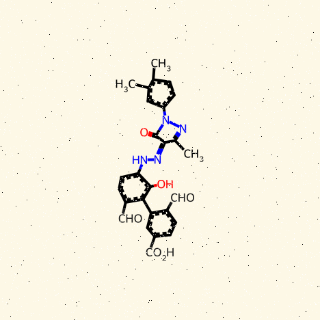 CC1=NN(c2ccc(C)c(C)c2)C(=O)C1=NNc1ccc(C=O)c(-c2cc(C(=O)O)ccc2C=O)c1O